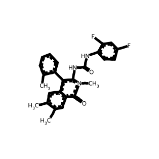 Cc1cc2c(-c3ccccc3C)c(NC(=O)Nc3ccc(F)cc3F)n(C)c(=O)c2cc1C